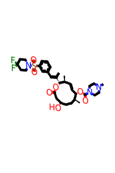 C/C(=C\c1cccc(S(=O)(=O)N2CCC(F)(F)CC2)c1)[C@H]1OC(=O)C[C@H](O)CC[C@H](C)[C@H](OC(=O)N2CCN(C)CC2)/C=C/[C@@H]1C